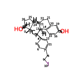 C[C@]12C[C@H](c3ccc(CCI)cc3)[C@@H]3c4ccc(O)cc4CC[C@H]3[C@@H]1CC[C@@H]2O